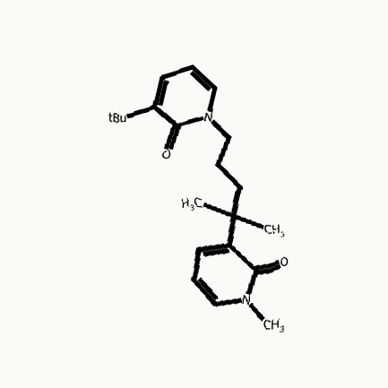 Cn1cccc(C(C)(C)CCCn2cccc(C(C)(C)C)c2=O)c1=O